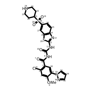 COc1cc(Cl)c(C(=O)NC(=O)Nc2nc3ccc(S(=O)(=O)C4CCNCC4)cc3s2)cc1-n1cccn1